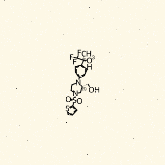 C[C@](O)(c1ccc(N2CCN(S(=O)(=O)c3cccs3)C[C@H]2CO)cc1)C(F)(F)F